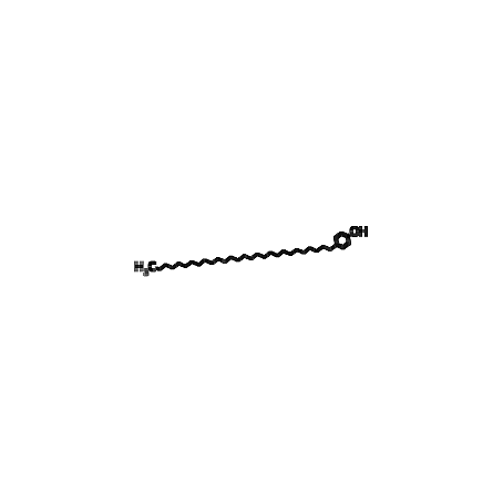 CCCCCCCCCCCCCCCCCCCCCCCCCCCCc1ccc(O)cc1